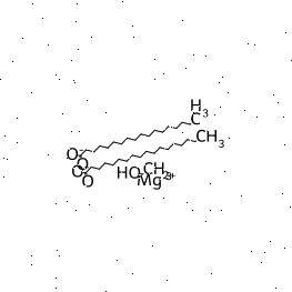 CCCCCCCCCCCCCCCCCC(=O)[O-].CCCCCCCCCCCCCCCCCC(=O)[O-].CCO.[Mg+2]